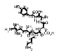 CC(C)[C@H](NC(=O)[C@H](CC(=O)O)NC(=O)[C@H](CCCCN)NC(=O)[C@H](N)CCC(N)=C(N)N)C(=O)N[C@@H](Cc1ccc(O)cc1)C(=O)O